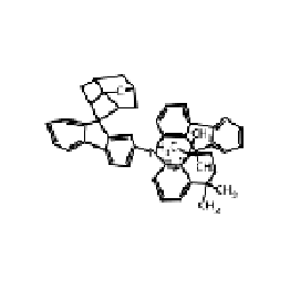 CC1(C)CCC(C)(C)c2c(N(c3ccc4c(c3)C3(c5ccccc5-4)C4CC5CC6CC3C64C5)c3cccc4c3C(C)(C)c3ccccc3-4)cccc21